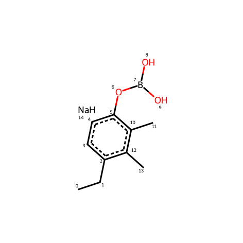 CCc1ccc(OB(O)O)c(C)c1C.[NaH]